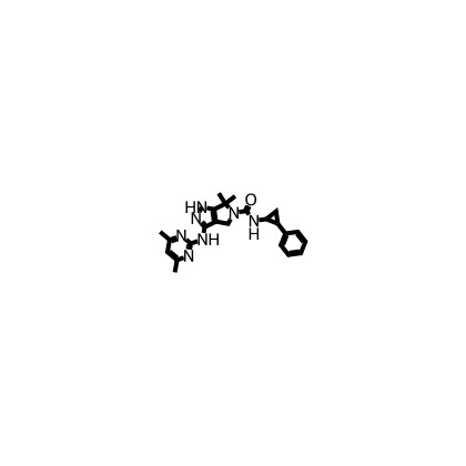 Cc1cc(C)nc(Nc2n[nH]c3c2CN(C(=O)NC2CC2c2ccccc2)C3(C)C)n1